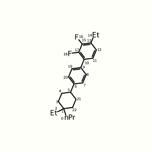 CCCC1(CC)CCC(c2ccc(-c3ccc(CC)c(F)c3F)cc2)CC1